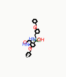 Cl.O=c1ccc2c(C(CO)NCCc3cccc(OCc4ccccc4)c3)ccc(OCc3ccccc3)c2[nH]1